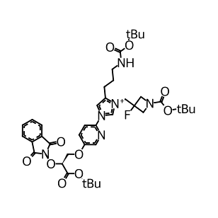 CC(C)(C)OC(=O)NCCCc1cn(-c2ccc(OC[C@H](ON3C(=O)c4ccccc4C3=O)C(=O)OC(C)(C)C)cn2)c[n+]1CC1(F)CN(C(=O)OC(C)(C)C)C1